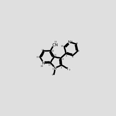 Cn1c(I)c(-c2cccnc2)c2c(C#N)ccnc21